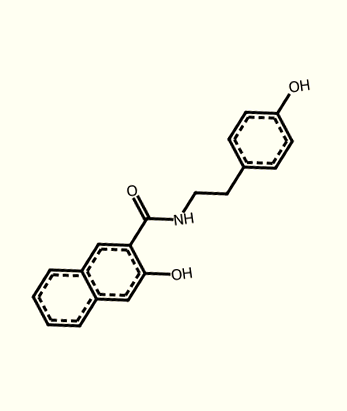 O=C(NCCc1ccc(O)cc1)c1cc2ccccc2cc1O